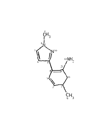 CC1C=CC(c2ccn(C)n2)=C(N)C1